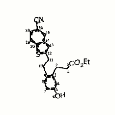 CCOC(=O)CCc1cc(O)ccc1CCc1cc2cc(C#N)ccc2s1